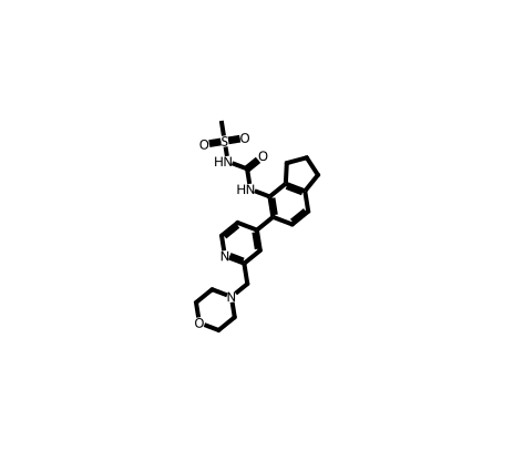 CS(=O)(=O)NC(=O)Nc1c(-c2ccnc(CN3CCOCC3)c2)ccc2c1CCC2